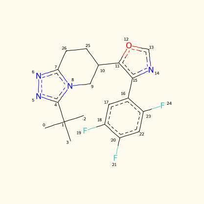 CC(C)(C)c1nnc2n1CC(c1ocnc1-c1cc(F)c(F)cc1F)CC2